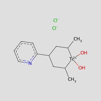 C[CH]1CC(c2ccccn2)C[CH](C)[Ti+2]1([OH])[OH].[Cl-].[Cl-]